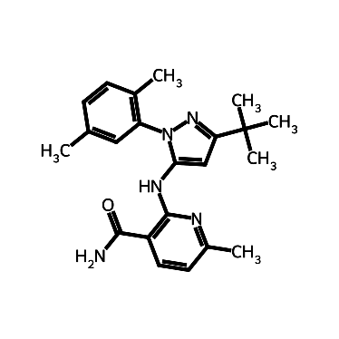 Cc1ccc(C)c(-n2nc(C(C)(C)C)cc2Nc2nc(C)ccc2C(N)=O)c1